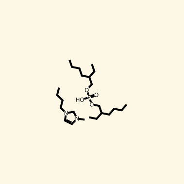 CCCCC(CC)COP(=O)(O)OCC(CC)CCCC.CCCCN1C=CN(C)C1